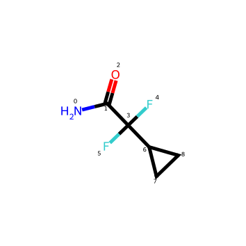 NC(=O)C(F)(F)C1CC1